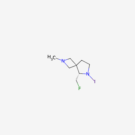 CN1CC2(CCN(I)[C@@H]2CF)C1